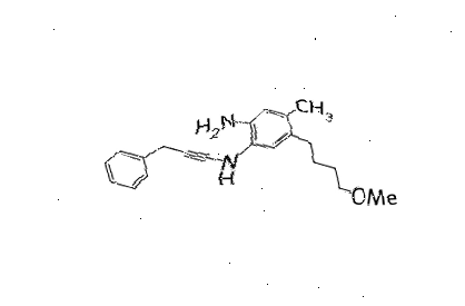 COCCCCc1cc(NC#CCc2ccccc2)c(N)cc1C